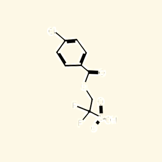 O=C(OCC(F)(F)S(=O)(=O)O)c1ccc(Cl)cc1